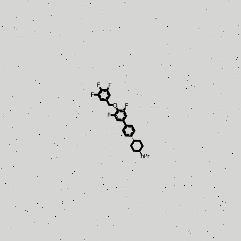 CCC[C@H]1CC[C@H](c2ccc(-c3cc(F)c(OCc4cc(F)c(F)c(F)c4)c(F)c3)cc2)CC1